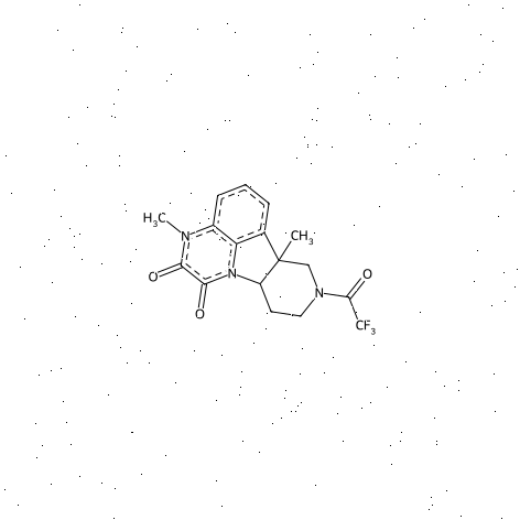 Cn1c(=O)c(=O)n2c3c(cccc31)C1(C)CN(C(=O)C(F)(F)F)CCC21